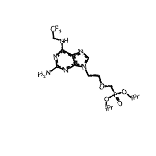 CC(C)OP(=O)(COCCn1cnc2c(NCC(F)(F)F)nc(N)nc21)OC(C)C